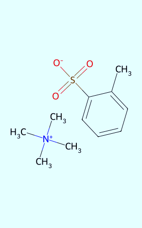 C[N+](C)(C)C.Cc1ccccc1S(=O)(=O)[O-]